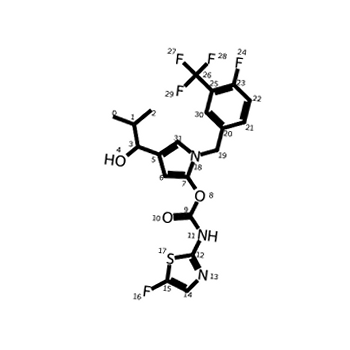 CC(C)C(O)c1cc(OC(=O)Nc2ncc(F)s2)n(Cc2ccc(F)c(C(F)(F)F)c2)c1